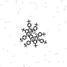 CC(C)(C)c1ccc(N2c3cc(C(C)(C)C)cc4c3B(c3cc5c(cc3N4c3ccc([Si](C)(C)C)cc3)N(c3ccc([Si](C)(C)C)cc3)c3cc(C(C)(C)C)cc4c3B5c3sc5ccc(C(C)(C)C)cc5c3N4c3ccc(C(C)(C)C)cc3)c3oc4ccc(C(C)(C)C)cc4c32)cc1